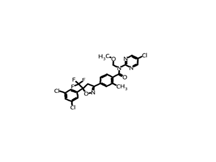 COCN(C(=O)c1ccc(C2=NOC(c3cc(Cl)cc(Cl)c3)(C(F)(F)F)C2)cc1C)c1ncc(Cl)cn1